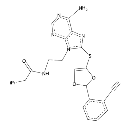 C#Cc1ccccc1C1OC=C(Sc2nc3c(N)ncnc3n2CCNC(=O)CC(C)C)O1